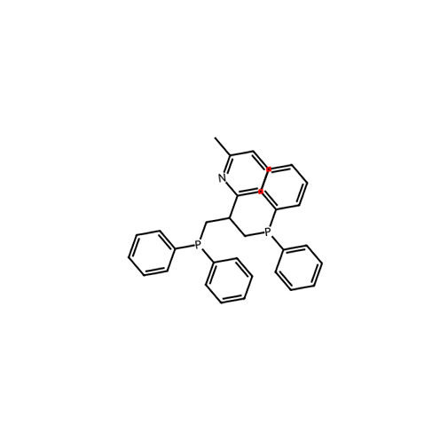 Cc1cccc(C(CP(c2ccccc2)c2ccccc2)CP(c2ccccc2)c2ccccc2)n1